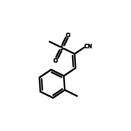 Cc1ccccc1C=C(C#N)S(C)(=O)=O